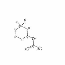 CCC(=O)OC1CCCC(C)(C)C1